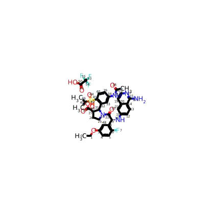 CCOc1ccc(F)c([C@@H](Nc2ccc3c(N)nccc3c2)C(=O)N2CCC(C(=O)O)C2c2cc(NC(C)=O)ccc2S(=O)(=O)C(C)C)c1.O=C(O)C(F)(F)F